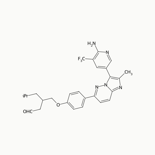 C[C](C)CC(CC=O)COc1ccc(-c2ccc3nc(C)c(-c4cnc(N)c(C(F)(F)F)c4)n3n2)cc1